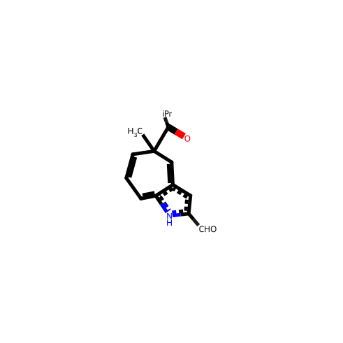 CC(C)C(=O)C1(C)C=CC=c2[nH]c(C=O)cc2=C1